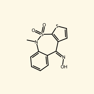 CN1c2ccccc2C(=NO)c2ccsc2S1(=O)=O